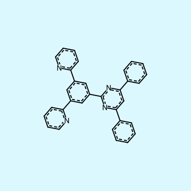 c1ccc(-c2cc(-c3ccccc3)nc(-c3cc(-c4ccccn4)cc(-c4ccccn4)c3)n2)cc1